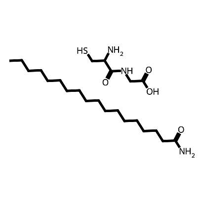 CCCCCCCCCCCCCCCCCC(N)=O.NC(CS)C(=O)NCC(=O)O